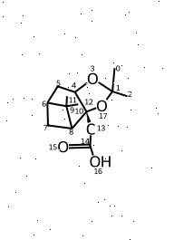 CC1(C)OC2CC3CC(C3(C)C)[C@@]2(CC(=O)O)O1